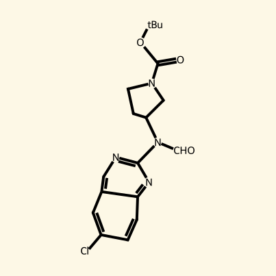 CC(C)(C)OC(=O)N1CCC(N(C=O)c2ncc3cc(Cl)ccc3n2)C1